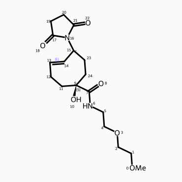 COCCOCCNC(=O)[C@]1(O)CC/C=C/[C](N2C(=O)CCC2=O)CC1